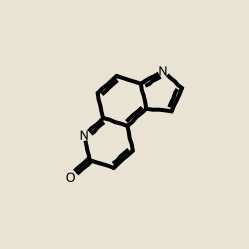 O=C1C=Cc2c3c(ccc2=N1)=NC=C3